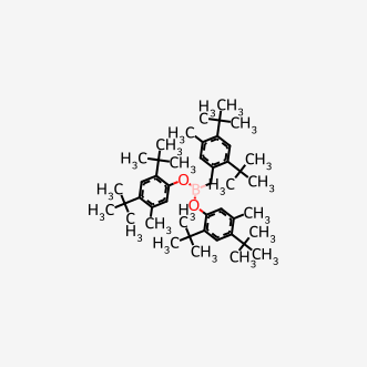 Cc1cc(CB(Oc2cc(C)c(C(C)(C)C)cc2C(C)(C)C)Oc2cc(C)c(C(C)(C)C)cc2C(C)(C)C)c(C(C)(C)C)cc1C(C)(C)C